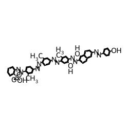 Cc1cc(N=Nc2cc(O)c(N=Nc3ccc4cc(N=Nc5ccc(O)cc5)ccc4c3O)cc2C)ccc1N=Nc1ccc(N=Nc2ccccc2S(=O)(=O)O)c(C)c1